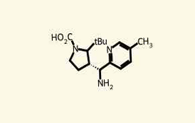 Cc1ccc(C(N)[C@@H]2CCN(C(=O)O)C2C(C)(C)C)nc1